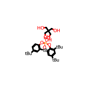 CC(C)(C)c1ccc(OP(=O)(O)Oc2ccc(C(C)(C)C)cc2C(C)(C)C)c(C(C)(C)C)c1.OCC(CO)(CO)CO